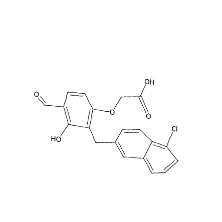 O=Cc1ccc(OCC(=O)O)c(Cc2ccc3c(Cl)cccc3c2)c1O